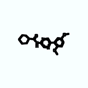 COc1ccc(OC)c(-c2cnc(NC(=O)C3CCCCC3)cn2)c1